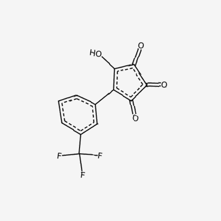 O=c1c(O)c(-c2cccc(C(F)(F)F)c2)c(=O)c1=O